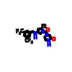 CC[C@@H]1C[C@H](NCc2cc(C(F)(F)F)cc(C(F)(F)F)c2)CN1C(=O)N1CCNC(=O)C1